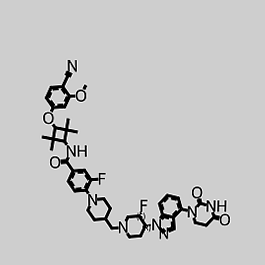 COc1cc(OC2C(C)(C)C(NC(=O)c3ccc(N4CCC(CN5CC[C@@H](n6ncc7c(N8CCC(=O)NC8=O)cccc76)[C@@H](F)C5)CC4)c(F)c3)C2(C)C)ccc1C#N